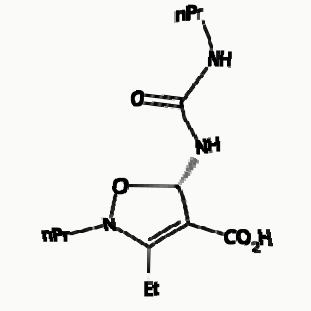 CCCNC(=O)N[C@H]1ON(CCC)C(CC)=C1C(=O)O